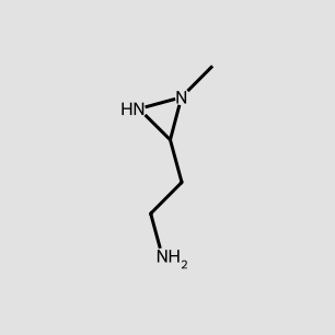 CN1NC1CCN